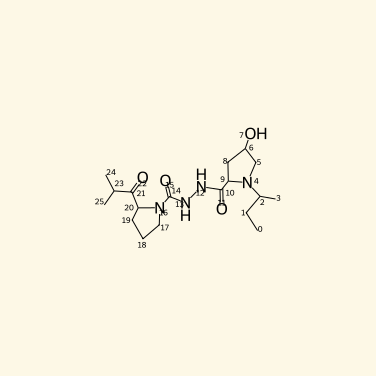 CCC(C)N1CC(O)CC1C(=O)NNC(=O)N1CCCC1C(=O)C(C)C